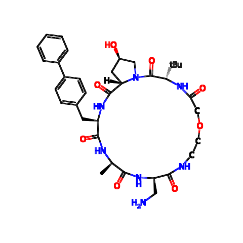 C[C@H]1NC(=O)[C@@H](Cc2ccc(-c3ccccc3)cc2)NC(=O)[C@@H]2C[C@@H](O)CN2C(=O)[C@H](C(C)(C)C)NC(=O)COCCNC(=O)[C@@H](CN)NC1=O